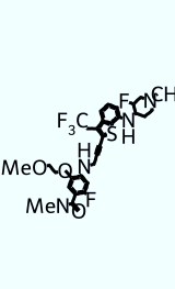 CNC(=O)c1cc(OCCOC)c(NCC#Cc2sc3c(NC4CCN(C)CC4F)cccc3c2CC(F)(F)F)cc1F